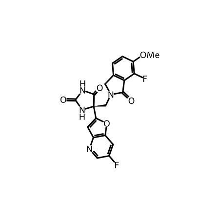 COc1ccc2c(c1F)C(=O)N(C[C@@]1(c3cc4ncc(F)cc4o3)NC(=O)NC1=O)C2